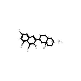 C[C@@H]1CC[C@@H]2CC(c3cc4cc(F)cc(F)c4c(F)c3Cl)CCC2C1